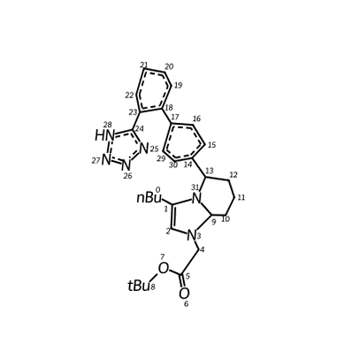 CCCCC1=CN(CC(=O)OC(C)(C)C)C2CCCC(c3ccc(-c4ccccc4-c4nnn[nH]4)cc3)N12